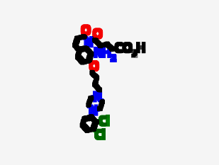 NC(CCC(=O)O)C(=O)n1c(=O)ccc2ccc(OCCCCN3CCN(c4cccc(Cl)c4Cl)CC3)cc21